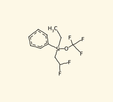 CC[Si](CC(F)F)(OC(F)(F)F)c1ccccc1